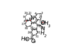 Cc1cccc(N2CCCCC2)c1C(c1ccccc1)C(C(N)=O)c1ccc(C(=O)O)cc1